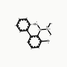 CCCCN(c1c(Br)cccc1-c1ccccc1)[SiH](C)C